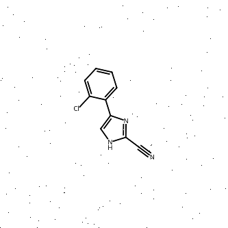 N#Cc1nc(-c2ccccc2Cl)c[nH]1